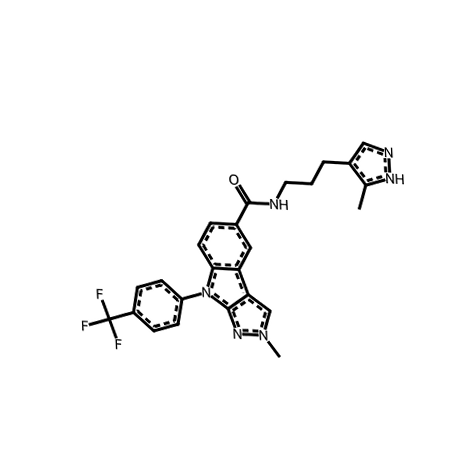 Cc1[nH]ncc1CCCNC(=O)c1ccc2c(c1)c1cn(C)nc1n2-c1ccc(C(F)(F)F)cc1